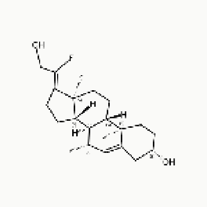 C[C@H]1C=C2C[C@@H](O)CC[C@]2(C)[C@H]2CC[C@]3(C)C(=C(F)CO)CC[C@H]3[C@H]12